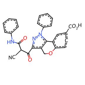 N#CC(C(=O)Nc1ccccc1)C(=O)c1nn(-c2ccccc2)c2c1COc1ccc(C(=O)O)cc1-2